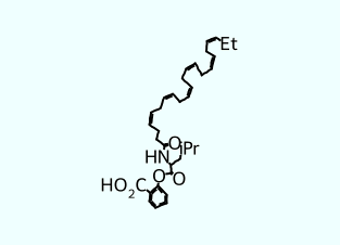 CC/C=C\C/C=C\C/C=C\C/C=C\C/C=C\C/C=C\CCC(=O)NC(CC(C)C)C(=O)Oc1ccccc1C(=O)O